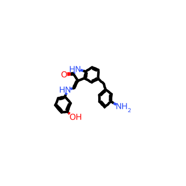 Nc1cccc(Cc2ccc3c(c2)C(=CNc2cccc(O)c2)C(=O)N3)c1